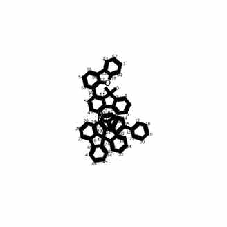 CC1(C)c2ccccc2-c2c(N(c3ccc(-c4ccccc4)cc3)c3cccc4c3C3(c5ccccc5-c5ccccc53)c3ccccc3-4)ccc(-c3cccc4c3oc3ccccc34)c21